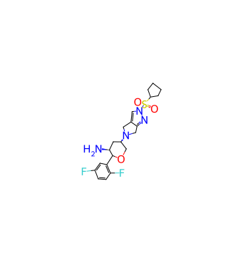 N[C@H]1C[C@@H](N2Cc3cn(S(=O)(=O)C4CCCC4)nc3C2)COC1c1cc(F)ccc1F